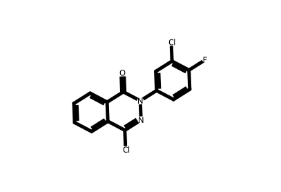 O=c1c2ccccc2c(Cl)nn1-c1ccc(F)c(Cl)c1